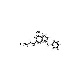 NCCSc1nc(N)c2ncn(Cc3ccccc3)c2n1